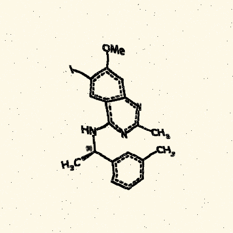 COc1cc2nc(C)nc(N[C@H](C)c3cccc(C)c3)c2cc1I